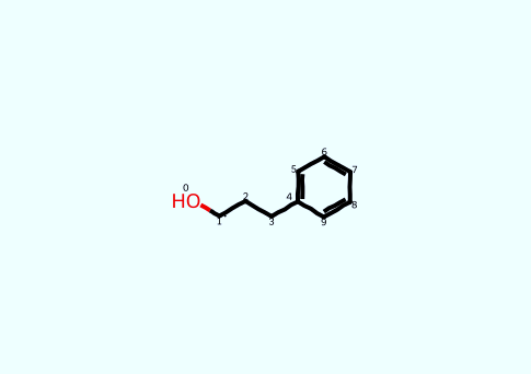 O[CH]CCc1ccccc1